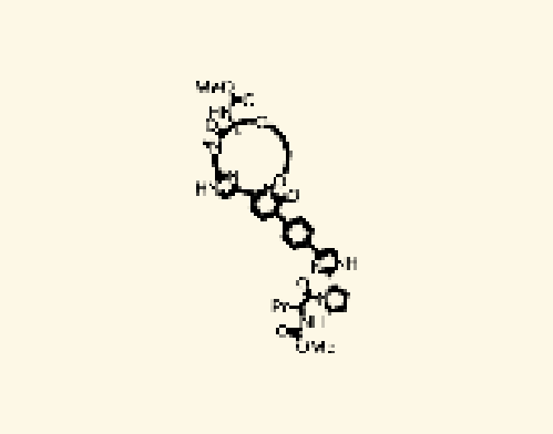 COC(=O)N[C@H]1COCCCCOn2c(ccc(-c3ccc(-c4c[nH]c([C@@H]5CCCN5C(=O)[C@@H](NC(=O)OC)C(C)C)n4)cc3)c2=O)-c2c[nH]c(n2)CN(C)C1=O